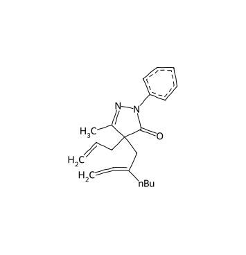 C=C=C(CCCC)CC1(CC=C)C(=O)N(c2ccccc2)N=C1C